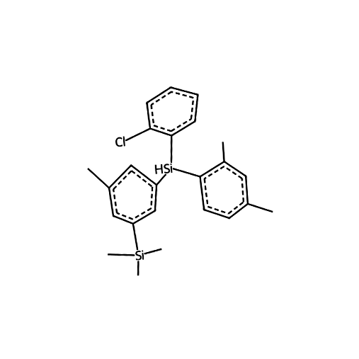 Cc1cc([SiH](c2ccc(C)cc2C)c2ccccc2Cl)cc([Si](C)(C)C)c1